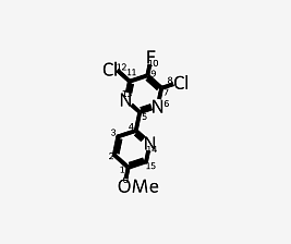 COc1ccc(-c2nc(Cl)c(F)c(Cl)n2)nc1